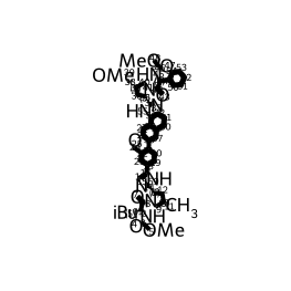 CC[C@H](C)C(NC(=O)OC)C(=O)N1C[C@@H](C)C[C@H]1c1ncc(-c2ccc3c(c2)COc2cc4c(ccc5nc([C@@H]6C[C@H](COC)CN6C(=O)[C@H](NC(=O)OC)c6ccccc6)[nH]c54)cc2-3)[nH]1